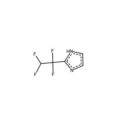 FC(F)C(F)(F)c1ncc[nH]1